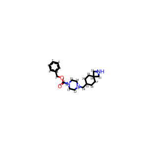 O=C(OCc1ccccc1)N1CCN(CC2CCC3(CC2)CNC3)CC1